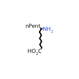 CCCCCC(N)CCCCCCC(=O)O